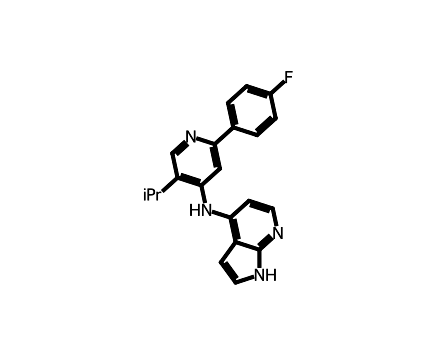 CC(C)c1cnc(-c2ccc(F)cc2)cc1Nc1ccnc2[nH]ccc12